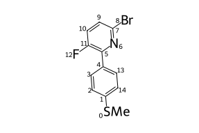 CSc1ccc(-c2nc(Br)ccc2F)cc1